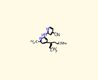 C/C=C(\CCOC)c1cc(C)nc(Nc2cc(C#N)ccn2)c1